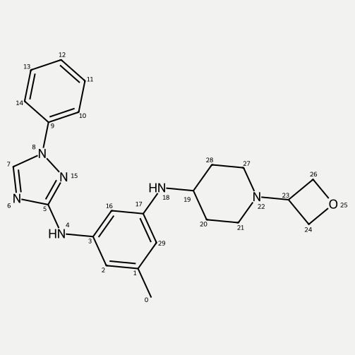 Cc1cc(Nc2ncn(-c3ccccc3)n2)cc(NC2CCN(C3COC3)CC2)c1